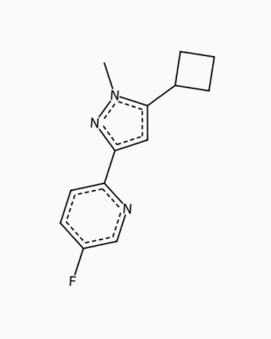 Cn1nc(-c2ccc(F)cn2)cc1C1CCC1